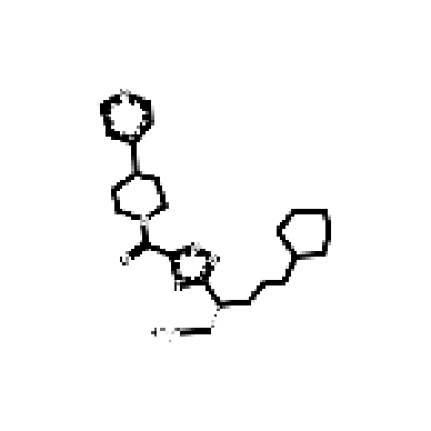 O=C(O)C[C@@H](CCCC1CCCCC1)c1nc(C(=O)N2CCC(c3ccncc3)CC2)no1